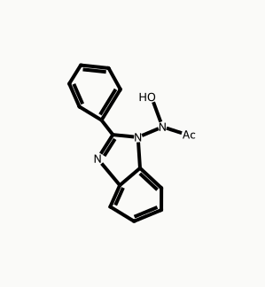 CC(=O)N(O)n1c(-c2ccccc2)nc2ccccc21